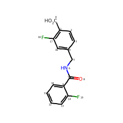 O=C(O)c1ccc(CNC(=O)c2ccccc2F)cc1F